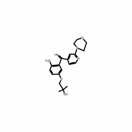 CC(C)(O)COc1ccc(N)c(C(=N)c2ccnc(N3CCOCC3)c2)c1